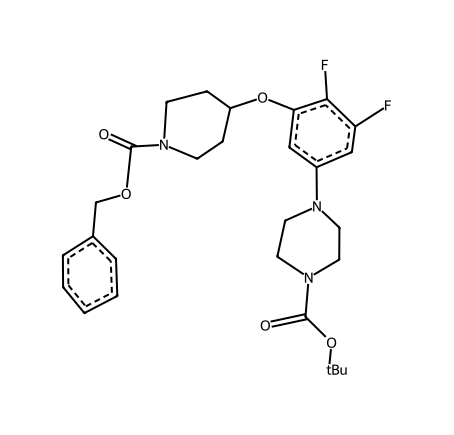 CC(C)(C)OC(=O)N1CCN(c2cc(F)c(F)c(OC3CCN(C(=O)OCc4ccccc4)CC3)c2)CC1